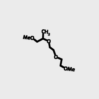 COCCOCCOC(C)COC